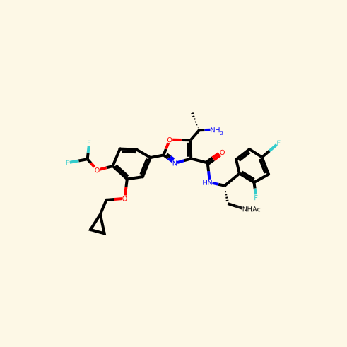 CC(=O)NC[C@H](NC(=O)c1nc(-c2ccc(OC(F)F)c(OCC3CC3)c2)oc1[C@H](C)N)c1ccc(F)cc1F